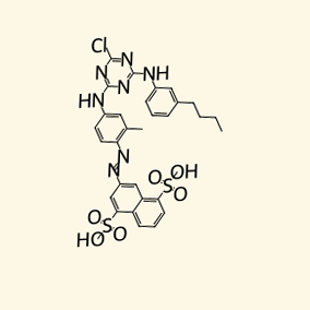 CCCCc1cccc(Nc2nc(Cl)nc(Nc3ccc(N=Nc4cc(S(=O)(=O)O)c5cccc(S(=O)(=O)O)c5c4)c(C)c3)n2)c1